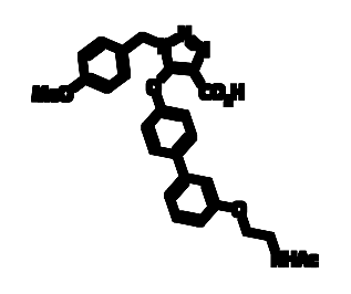 COc1ccc(Cn2nnc(C(=O)O)c2Oc2ccc(-c3cccc(OCCNC(C)=O)c3)cc2)cc1